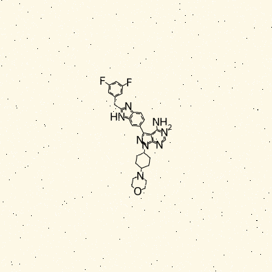 Nc1ncnc2c1c(-c1ccc3nc(Cc4cc(F)cc(F)c4)[nH]c3c1)nn2C1CCC(N2CCOCC2)CC1